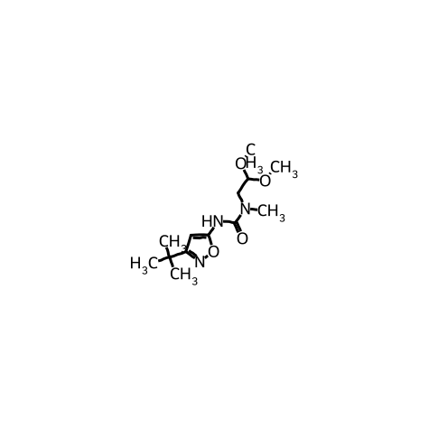 COC(CN(C)C(=O)Nc1cc(C(C)(C)C)no1)OC